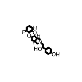 C[C@]12C[C@H](Oc3c(O)cccc3F)C[C@H]1CN(CC(O)c1ccc(O)cc1)C2